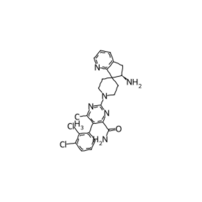 Cc1nc(N2CCC3(CC2)c2ncccc2C[C@H]3N)nc(C(N)=O)c1-c1cccc(Cl)c1Cl